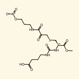 COC(=O)[C@H](CSCC(=O)C(=O)NCCCO[N+](=O)[O-])NC(=O)NCCCC(=O)O